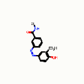 CCNC(=O)c1cccc(/N=N\c2ccc(O)c(C(=O)O)c2)c1